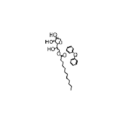 CCCCCCCCCCCC(=O)OC[C@@H](O)C1OC[C@H](O)[C@H]1O.c1ccc(Oc2ccccc2)cc1